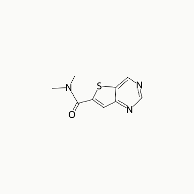 CN(C)C(=O)c1cc2ncncc2s1